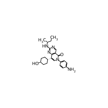 CC[C@H](C)Nc1ncc2c(=O)n(-c3ccc(N)cc3)cc([C@H]3CC[C@H](O)CC3)c2n1